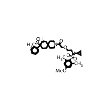 COc1cc(C)c(S(=O)(=O)N(CCOCC(=O)N2CCC3(CC2)CCC(c2ccccc2)(N(C)C)CC3)C2CC2)c(C)c1